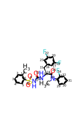 Cc1ccccc1S(=O)(=O)NC(=O)N[C@@H](Cc1cc(F)cc(F)c1)C(=O)N(C)c1ccccc1F